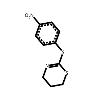 O=[N+]([O-])c1ccc(SC2=NCCCS2)cc1